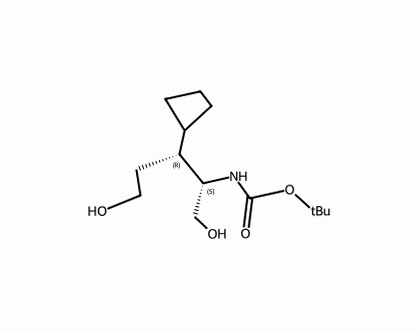 CC(C)(C)OC(=O)N[C@H](CO)[C@H](CCO)C1CCC1